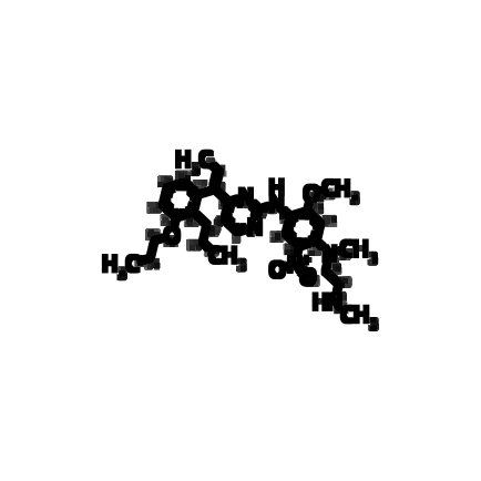 C/C=C(/c1ccnc(Nc2cc([N+](=O)[O-])c(N(C)CCNC)cc2OC)n1)c1cccc(OCCC)c1CCC